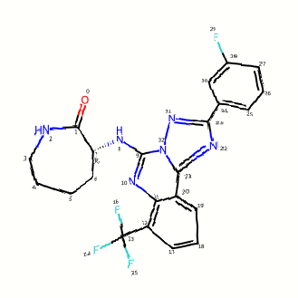 O=C1NCCCC[C@H]1Nc1nc2c(C(F)(F)F)cccc2c2nc(-c3cccc(F)c3)nn12